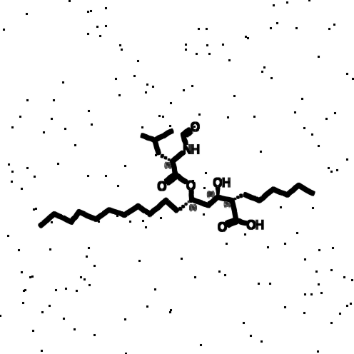 CCCCCCCCCCC[C@@H](C[C@@H](O)[C@H](CCCCCC)C(=O)O)OC(=O)[C@H](CC(C)C)NC=O